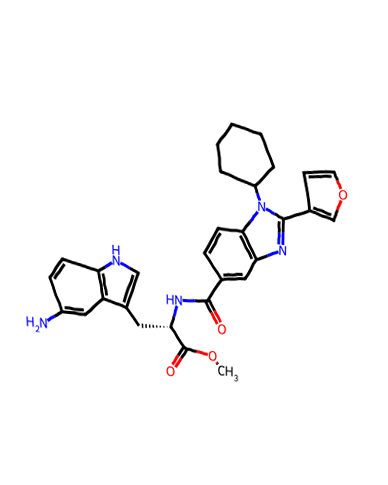 COC(=O)[C@H](Cc1c[nH]c2ccc(N)cc12)NC(=O)c1ccc2c(c1)nc(-c1ccoc1)n2C1CCCCC1